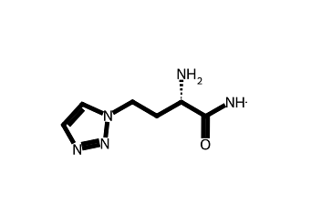 [NH]C(=O)[C@@H](N)CCn1ccnn1